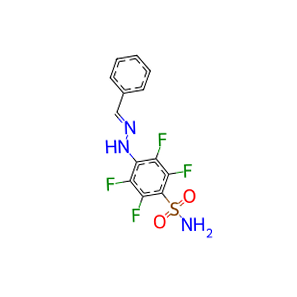 NS(=O)(=O)c1c(F)c(F)c(NN=Cc2ccccc2)c(F)c1F